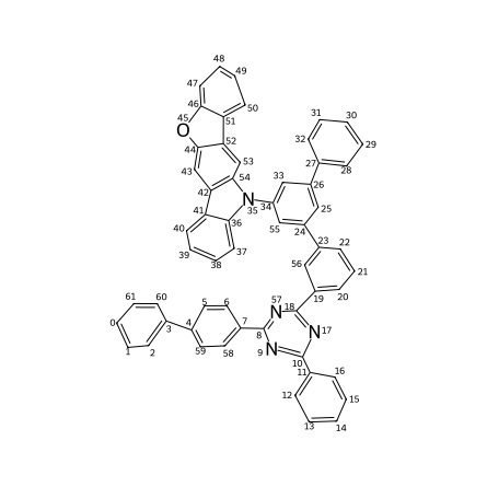 c1ccc(-c2ccc(-c3nc(-c4ccccc4)nc(-c4cccc(-c5cc(-c6ccccc6)cc(-n6c7ccccc7c7cc8oc9ccccc9c8cc76)c5)c4)n3)cc2)cc1